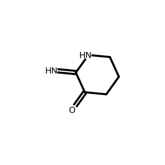 N=C1NCCCC1=O